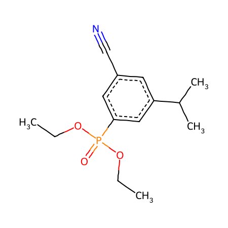 CCOP(=O)(OCC)c1cc(C#N)cc(C(C)C)c1